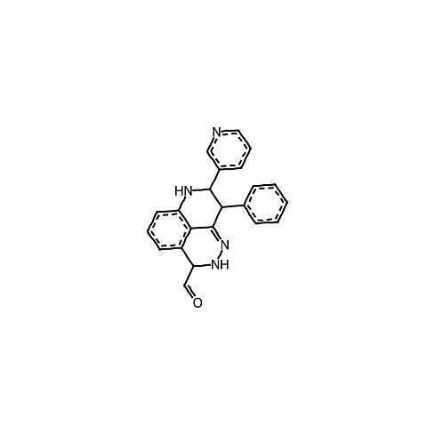 O=CC1NN=C2c3c(cccc31)NC(c1cccnc1)C2c1ccccc1